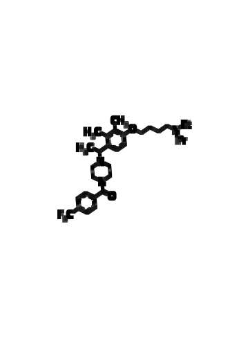 CCN(CCCCOc1ccc(C(C)N2CCN(C(=O)c3ccc(C(F)(F)F)cc3)CC2)c(C)c1C)C(C)C